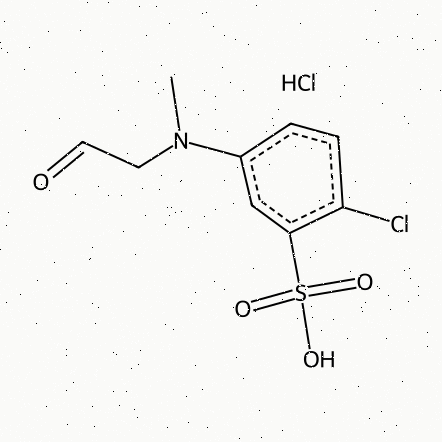 CN(CC=O)c1ccc(Cl)c(S(=O)(=O)O)c1.Cl